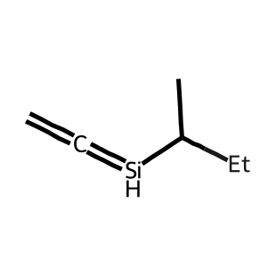 C=C=[SiH]C(C)CC